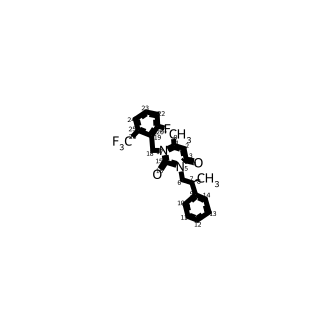 Cc1cc(=O)n(C[C@H](C)c2ccccc2)c(=O)n1Cc1c(F)cccc1C(F)(F)F